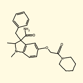 CC1N(C)c2ccc(OCC(=O)N3CCCCC3)cc2C1(Cc1ccccc1)C(N)=O